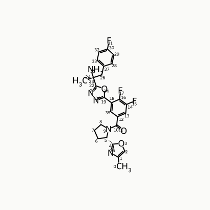 Cc1coc([C@@H]2CCCN2C(=O)c2cc(F)c(F)c(-c3nnc([C@](C)(N)Cc4ccc(F)cc4)o3)c2)n1